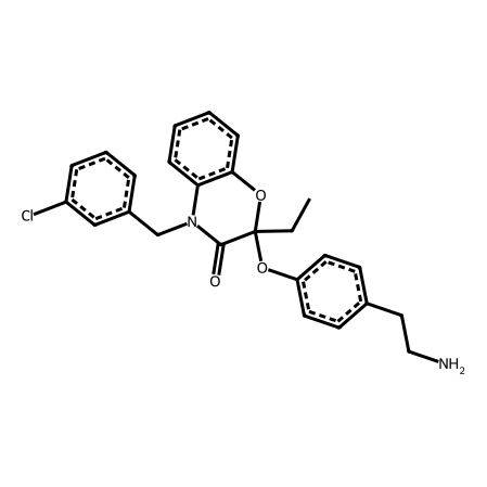 CCC1(Oc2ccc(CCN)cc2)Oc2ccccc2N(Cc2cccc(Cl)c2)C1=O